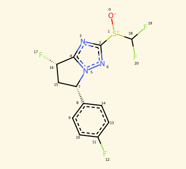 [O-][S+](c1nc2n(n1)[C@H](c1ccc(F)cc1)C[C@@H]2F)C(F)F